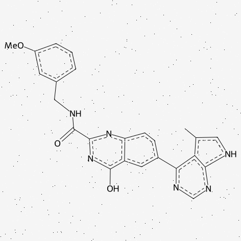 COc1cccc(CNC(=O)c2nc(O)c3cc(-c4ncnc5[nH]cc(C)c45)ccc3n2)c1